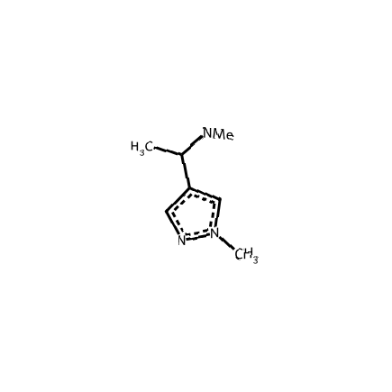 [CH2-][NH2+]C(C)c1cnn(C)c1